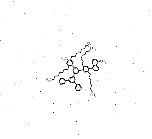 CCCCCCCCc1cc(-c2cc(-c3nc(-c4ccccc4)cc(-c4ccccc4)n3)cc(-c3cc(CCCCCCCC)c(-c4cccc5c(C)cccc45)cc3CCCCCCCC)c2)c(CCCCCCCC)cc1C